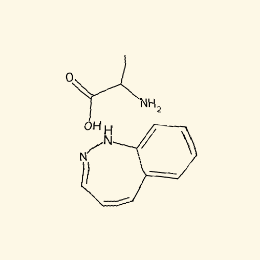 C1=Cc2ccccc2NN=C1.CC(N)C(=O)O